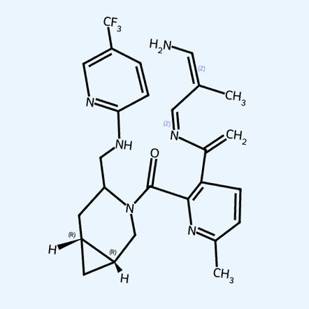 C=C(/N=C\C(C)=C/N)c1ccc(C)nc1C(=O)N1C[C@@H]2C[C@@H]2CC1CNc1ccc(C(F)(F)F)cn1